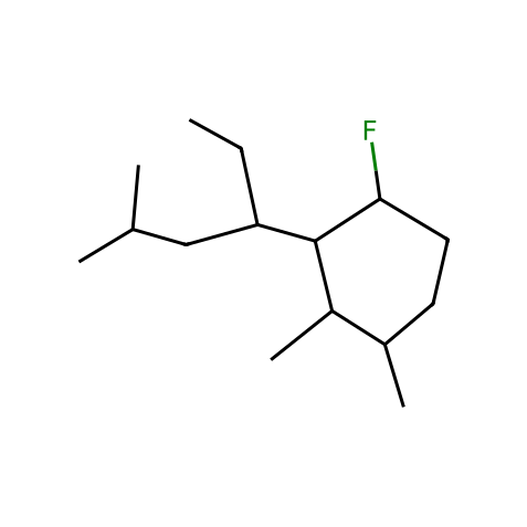 CCC(CC(C)C)C1C(F)CCC(C)C1C